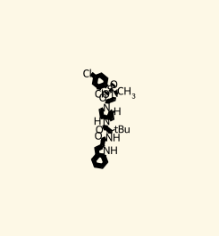 CN(CC(=O)N1C[C@@H]2C[C@H]1CN2C(=O)[C@@H](NC(=O)c1cc2ccccc2[nH]1)C(C)(C)C)S(=O)(=O)c1ccc(Cl)cc1Cl